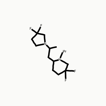 CC(CC1CCC(F)(F)CN1C(C)C)N1CCC(F)(F)C1